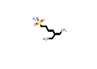 CC=C(C=CCCS(N)(=O)=O)CC